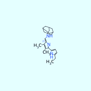 CCc1ccc(C2=N/C(=C\NC34CC5CC(CC(C5)C3)C4)C(C)=C2C)[nH]1